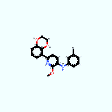 COc1nc(-c2cccc3c2OCCO3)ccc1Nc1cccc(C)c1